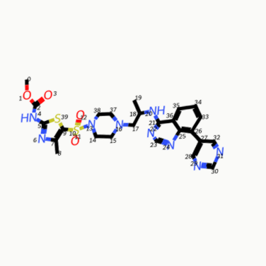 COC(=O)Nc1nc(C)c(S(=O)(=O)N2CCN(CC(C)Nc3ncnc4c(-c5cncnc5)cccc34)CC2)s1